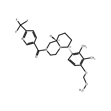 COCOc1ccc([C@H]2CCC[C@H]3CN(C(=O)c4ccc(C(F)(F)F)nc4)CCN32)c(C)c1C